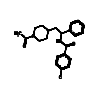 CC(=O)N1CCC(CC(NC(=O)c2ccc(Cl)cc2)c2ccccc2)CC1